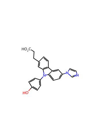 O=C(O)CCc1ccc2c3cc(-n4ccnc4)ccc3n(-c3ccc(O)cc3)c2c1